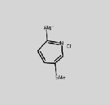 CSc1cc[c]([Mg+])nc1.[Cl-]